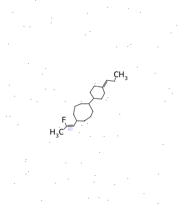 CCC=C1CCC(C2CCCC(/C=C(/C)F)CCC2)CC1